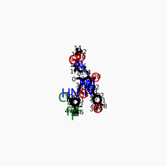 CCc1c(/C=C2/CN(C(=O)OC(C)(C)C)C(C)(C)C2)c(=O)n2cc(C3=CCC(C)(OC)CC3)nc2n1CC(=O)Nc1ccc(C(F)(F)F)cc1Cl